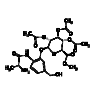 COC(=O)[C@H]1O[C@@H](Oc2cc(CO)ccc2NC(=O)C(C)N)[C@H](OC(C)=O)[C@@H](OC(C)=O)[C@@H]1OC(C)=O